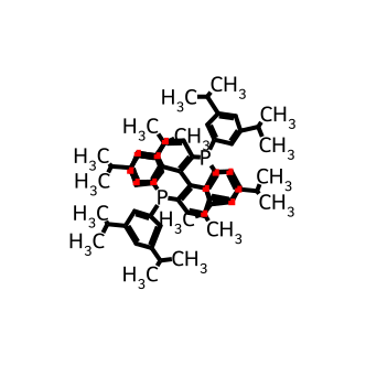 CC(C)c1cc(C(C)C)cc(P(c2cc(C(C)C)cc(C(C)C)c2)c2ccc3ccccc3c2-c2c(P(c3cc(C(C)C)cc(C(C)C)c3)c3cc(C(C)C)cc(C(C)C)c3)ccc3ccccc23)c1